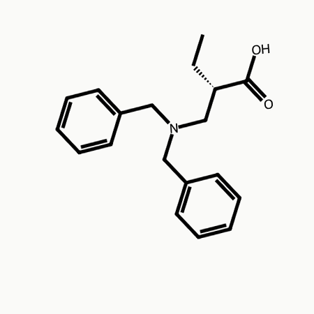 CC[C@@H](CN(Cc1ccccc1)Cc1ccccc1)C(=O)O